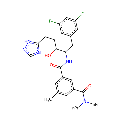 CCCN(CCC)C(=O)c1cc(C)cc(C(=O)NC(Cc2cc(F)cc(F)c2)C(O)CCc2ncn[nH]2)c1